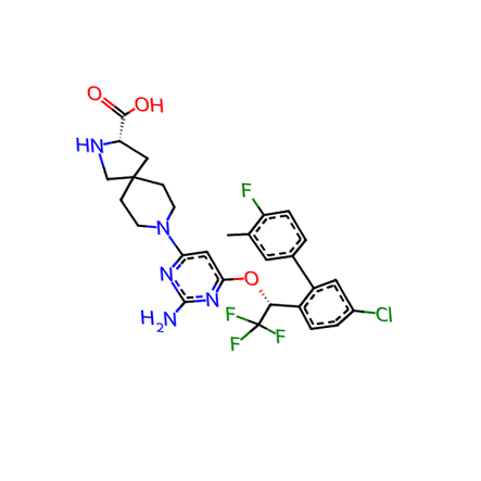 Cc1cc(-c2cc(Cl)ccc2[C@@H](Oc2cc(N3CCC4(CC3)CN[C@H](C(=O)O)C4)nc(N)n2)C(F)(F)F)ccc1F